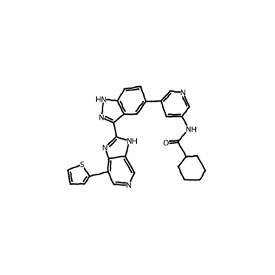 O=C(Nc1cncc(-c2ccc3[nH]nc(-c4nc5c(-c6cccs6)cncc5[nH]4)c3c2)c1)C1CCCCC1